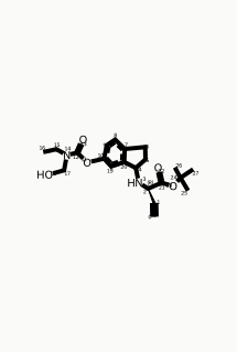 C#C[C@@H](NC1CCc2ccc(OC(=O)N(CC)CO)cc21)C(=O)OC(C)(C)C